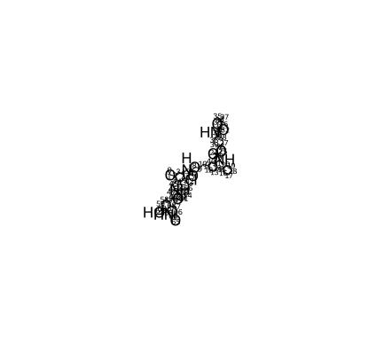 COc1cc(NC(=O)OCCc2ccc(-c3ccccc3)c(NC(=O)OC3CCC(NC(=O)OC(C)(C)C)CC3)c2)c(Cl)cc1CNC[C@H](O[Si](C)(C)C(C)(C)C)c1ccc(O)c2[nH]c(=O)ccc12